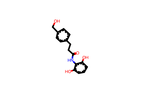 O=C(CCc1ccc(CO)cc1)Nc1c(O)cccc1O